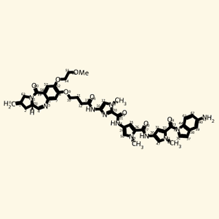 C=C1C[C@H]2C=Nc3cc(OCCCC(=O)Nc4cn(C)c(C(=O)Nc5cc(C(=O)Nc6cc(C(=O)n7ccc8cc(N)ccc87)n(C)c6)n(C)c5)n4)c(OCCOC)cc3C(=O)N2C1